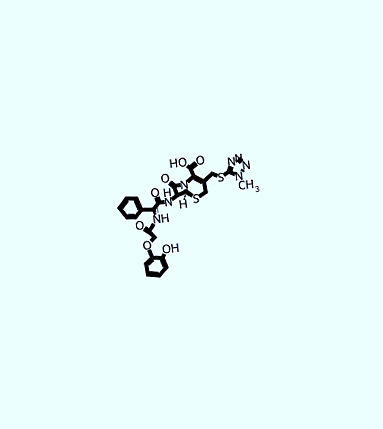 Cn1nnnc1SCC1=C(C(=O)O)N2C(=O)C(NC(=O)[C@@H](NC(=O)COc3ccccc3O)c3ccccc3)[C@@H]2SC1